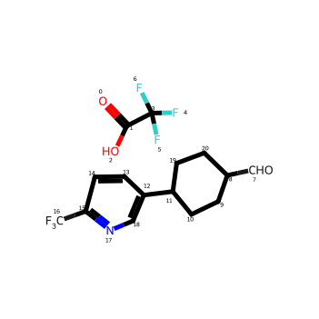 O=C(O)C(F)(F)F.O=CC1CCC(c2ccc(C(F)(F)F)nc2)CC1